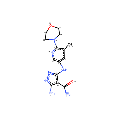 Cc1cc(Nc2n[nH]c(N)c2C(N)=O)cnc1N1CCOCC1